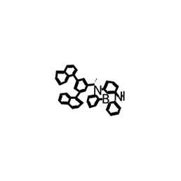 C[C@@H](c1cc(-c2cccc3ccccc23)cc(-c2cccc3ccccc23)c1)N1c2ccccc2B2c3ccccc3N(I)c3cccc1c32